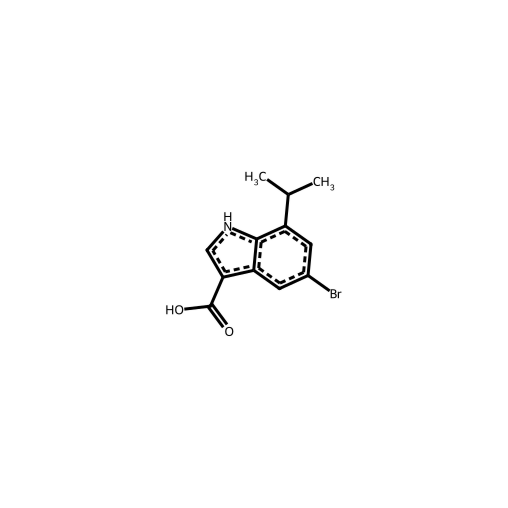 CC(C)c1cc(Br)cc2c(C(=O)O)c[nH]c12